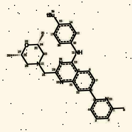 Cc1cccc(-c2ccc3c(Nc4ccc(C(C)(C)C)cc4)nc(CN4C[C@@H](C)O[C@@H](C)C4)nc3c2)n1